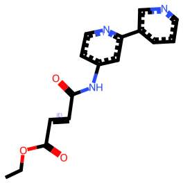 CCOC(=O)/C=C/C(=O)Nc1ccnc(-c2cccnc2)c1